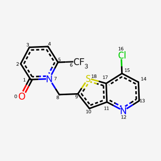 O=c1cccc(C(F)(F)F)n1Cc1cc2nccc(Cl)c2s1